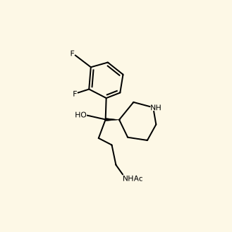 CC(=O)NCCCC(O)(c1cccc(F)c1F)[C@@H]1CCCNC1